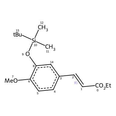 CCOC(=O)/C=C/c1ccc(OC)c(O[Si](C)(C)C(C)(C)C)c1